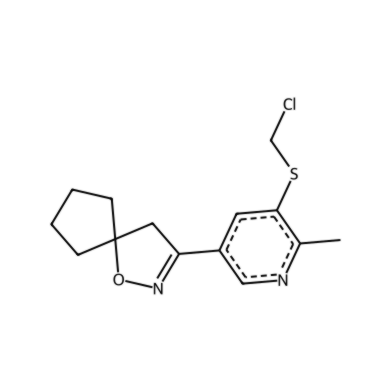 Cc1ncc(C2=NOC3(CCCC3)C2)cc1SCCl